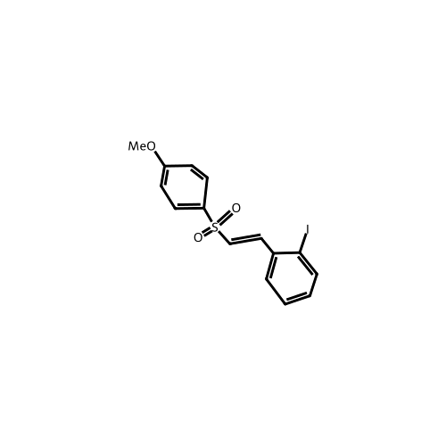 COc1ccc(S(=O)(=O)C=Cc2ccccc2I)cc1